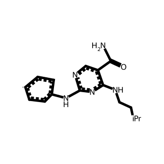 CC(C)CCNc1nc(Nc2cc[c]cc2)ncc1C(N)=O